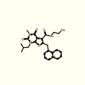 CC(C)Cn1c(=O)n(C)c(=O)c2c(C(=O)NCCO)c(Cc3cccc4ccccc34)sc21